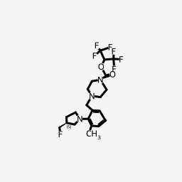 Cc1cccc(CN2CCN(C(=O)OC(C(F)(F)F)C(F)(F)F)CC2)c1N1CC[C@H](CF)C1